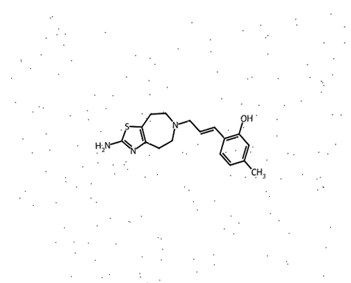 Cc1ccc(C=CCN2CCc3nc(N)sc3CC2)c(O)c1